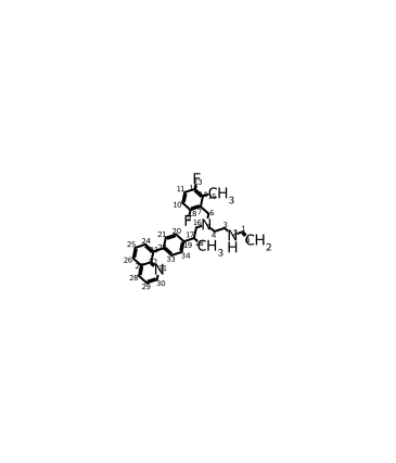 C=CNCCN(Cc1c(F)ccc(F)c1C)CC(C)c1ccc(-c2cccc3cccnc23)cc1